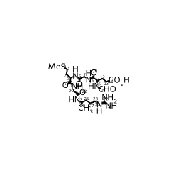 CSCCC(NC(=O)CNC(=O)C(CCC(=O)O)NC=O)C(=O)NCC(=O)NC(C)CCCNC(=N)N